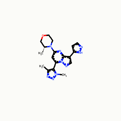 Cc1nnn(C)c1-c1cc(N2CCOC[C@H]2C)nc2c(-c3ccn[nH]3)cnn12